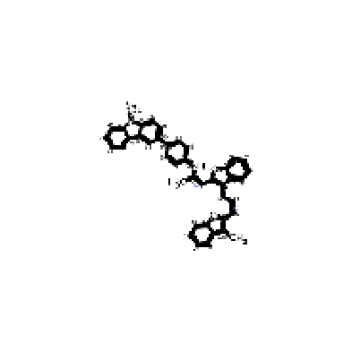 C/C(=C/c1oc2ccccc2c1C/C=C\c1oc2ccccc2c1C)Nc1ccc(-c2ccc3c(c2)c2ccccc2n3C(C)(C)C)cc1